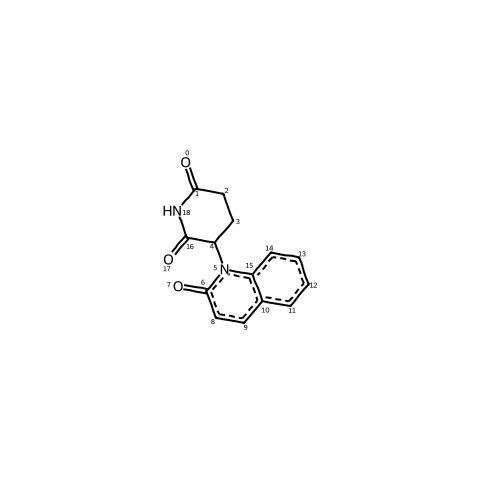 O=C1CCC(n2c(=O)ccc3ccccc32)C(=O)N1